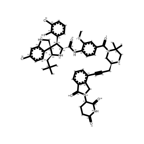 COc1cc(C(=O)N2C[C@H](CC#Cc3cccc4c3CN(C3CCC(=O)NC3=O)C4=O)OCC2(C)C)ccc1NC(=O)[C@@H]1N[C@@H](CC(C)(C)C)[C@@]2(CNc3cc(Cl)ccc32)[C@H]1c1cccc(Cl)c1F